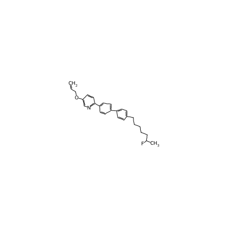 C=CCOc1ccc(-c2ccc(-c3ccc(CCCCCC(C)F)cc3)cc2)nc1